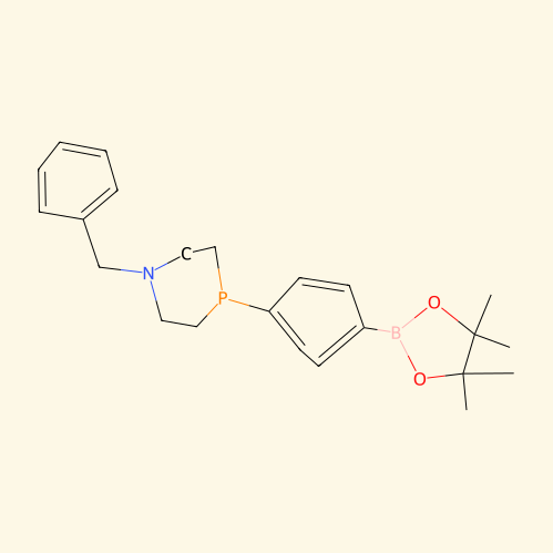 CC1(C)OB(c2ccc(P3CCN(Cc4ccccc4)CC3)cc2)OC1(C)C